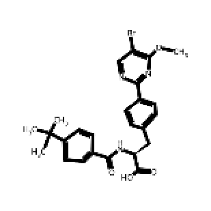 COc1nc(-c2ccc(C[C@H](NC(=O)c3ccc(C(C)(C)C)cc3)C(=O)O)cc2)ncc1Br